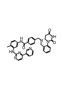 Cc1ccc(NC(=O)c2ccc(CN(C)Cc3ccccc3N3CCC(=O)NC3=O)cc2)cc1Nc1nccc(-c2cccnc2)n1